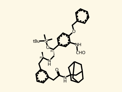 C[C@H](Cc1cccc(CC(=O)NC23CC4CC(CC(C4)C2)C3)c1)NC[C@H](O[Si](C)(C)C(C)(C)C)c1ccc(OCc2ccccc2)c(NC=O)c1